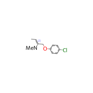 C/C=C(/COc1ccc(Cl)cc1)NC